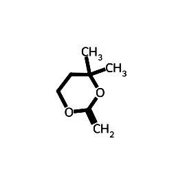 C=C1OCCC(C)(C)O1